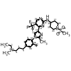 CCN(C)CCCc1ccc(-n2cc(-c3nc(NC4CCN(S(C)(=O)=O)CC4)ncc3C(F)(F)F)nc2C)c(F)c1